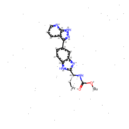 CC(C)C[C@@H](NC(=O)OC(C)(C)C)c1nc2cc(-c3n[nH]c4ncccc34)ccc2[nH]1